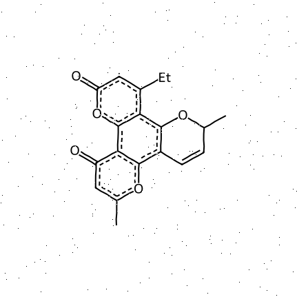 CCc1[c]c(=O)oc2c1c1c(c3oc(C)cc(=O)c32)C=CC(C)O1